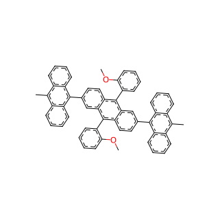 COc1ccccc1-c1c2ccc(-c3c4ccccc4c(C)c4ccccc34)cc2c(-c2ccccc2OC)c2ccc(-c3c4ccccc4c(C)c4ccccc34)cc12